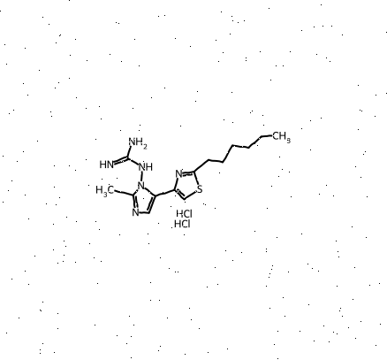 CCCCCCc1nc(-c2cnc(C)n2NC(=N)N)cs1.Cl.Cl